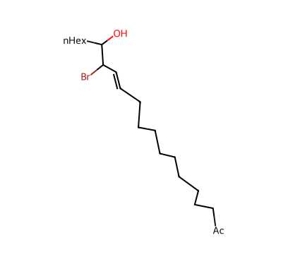 CCCCCCC(O)C(Br)C=CCCCCCCCCCC(C)=O